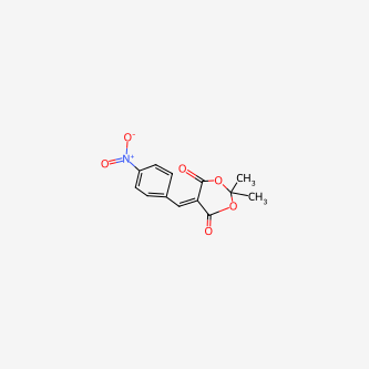 CC1(C)OC(=O)C(=Cc2ccc([N+](=O)[O-])cc2)C(=O)O1